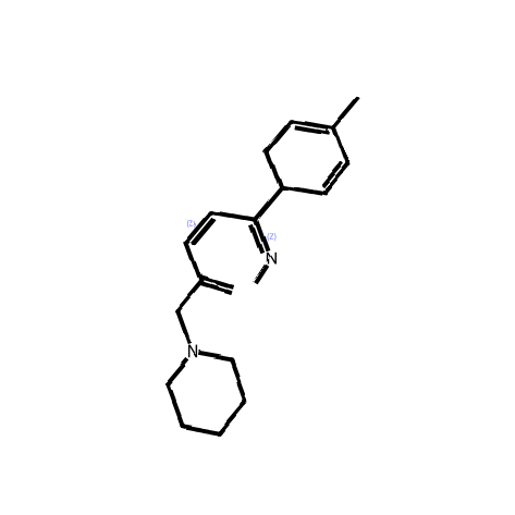 C=C(/C=C\C(=N/C)C1C=CC(C)=CC1)CN1CCCCC1